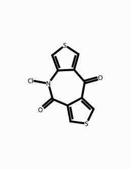 O=c1c2cscc2c(=O)n(Cl)c2cscc12